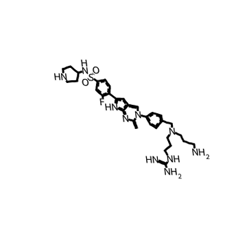 C=C1N=c2[nH]c(-c3ccc(S(=O)(=O)NC4CCNCC4)cc3F)cc2=CN1c1ccc(CN(CCCN)CCCNC(=N)N)cc1